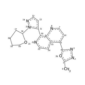 Cc1nnc(-c2ccnc3c(-c4ccnn4C4CCCCO4)nccc23)o1